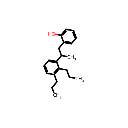 CCCc1cccc(C(C)Cc2ccccc2O)c1CCC